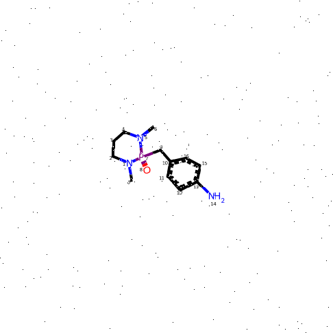 CN1CCCN(C)P1(=O)Cc1ccc(N)cc1